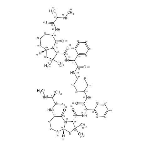 CN[C@@H](C)C(=S)N[C@H]1CCS[C@H]2CC(C)(C)[C@@H](C(=O)N[C@H](C(=O)NC3CCC(NC(=O)[C@@H](NC(=O)[C@H]4N5C(=O)[C@@H](NC(=S)[C@H](C)NC)CCS[C@H]5CC4(C)C)c4ccccc4)CC3)c3ccccc3)N2C1=O